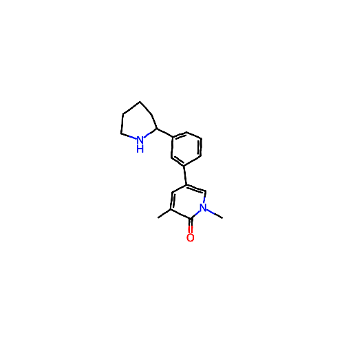 Cc1cc(-c2cccc(C3CCCCN3)c2)cn(C)c1=O